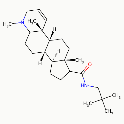 CN1CC=C[C@@]2(C)C1CC[C@@H]1[C@H]2CC[C@]2(C)C(C(=O)NCC(C)(C)C)CC[C@@H]12